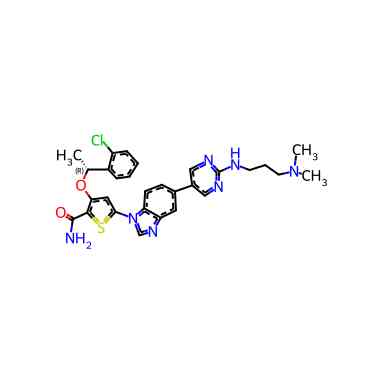 C[C@@H](Oc1cc(-n2cnc3cc(-c4cnc(NCCCN(C)C)nc4)ccc32)sc1C(N)=O)c1ccccc1Cl